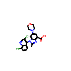 Cc1nc2c(C(=O)O)cc(N3CCOCC3)cc2n1-c1c(Cl)cnc2c(Cl)cccc12